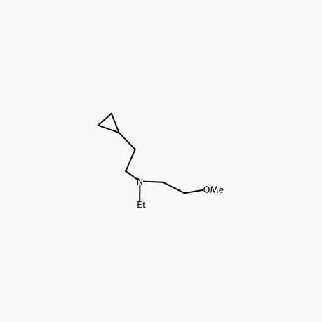 CCN(CCOC)CCC1CC1